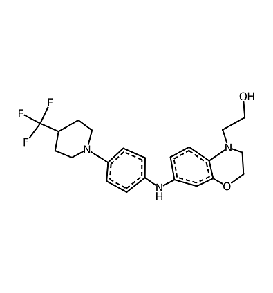 OCCN1CCOc2cc(Nc3ccc(N4CCC(C(F)(F)F)CC4)cc3)ccc21